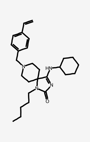 C=Cc1ccc(CN2CCC3(CC2)C(NC2CCCCC2)=NC(=O)N3CCCCC)cc1